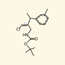 Cc1cccc(C(C)/C(=C/Cl)CNC(=O)OC(C)(C)C)c1